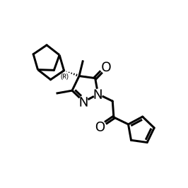 CC1=NN(CC(=O)C2=CC=CC2)C(=O)C1(C)[C@@H]1CC2CCC1C2